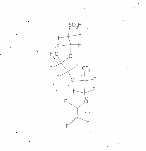 O=S(=O)(O)C(F)(F)C(F)(F)OC(F)(C(F)(F)F)C(F)(F)OC(F)(C(F)(F)F)C(F)(F)OC(F)=C(F)F